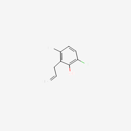 C=CCc1c(C)ccc(Cl)c1O